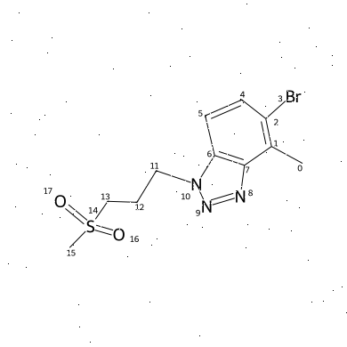 Cc1c(Br)ccc2c1nnn2CCCS(C)(=O)=O